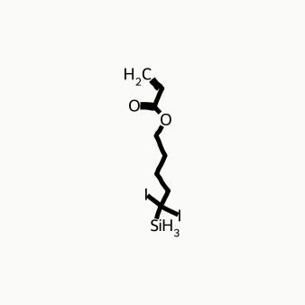 C=CC(=O)OCCCCC([SiH3])(I)I